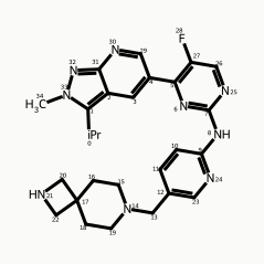 CC(C)c1c2cc(-c3nc(Nc4ccc(CN5CCC6(CC5)CNC6)cn4)ncc3F)cnc2nn1C